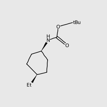 CC[C@H]1CC[C@@H](NC(=O)OC(C)(C)C)CC1